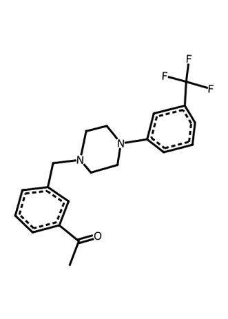 CC(=O)c1cccc(CN2CCN(c3cccc(C(F)(F)F)c3)CC2)c1